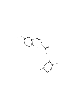 Cc1ccc(C(C)C)cc1OCC(=O)N/N=C\c1cc([N+](=O)[O-])ccc1O